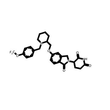 O=C1CCC(N2Cc3cc(OCC4CCCCN4Cc4ccc(OC(F)(F)F)cc4)ccc3C2=O)C(=O)N1